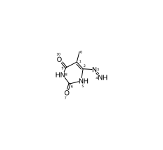 Cc1c(N=N)[nH]c(=O)[nH]c1=O